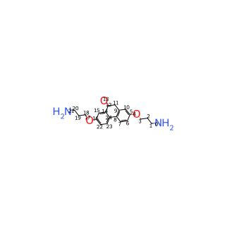 NCCCOc1ccc2c(c1)CC(=O)c1cc(OCCCN)ccc1-2